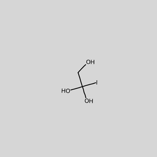 OCC(O)(O)I